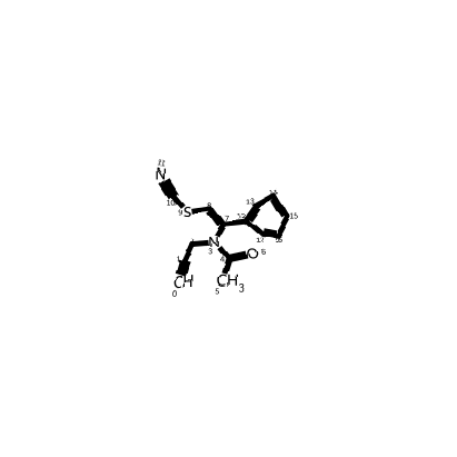 C#CCN(C(C)=O)C(=CSC#N)c1ccccc1